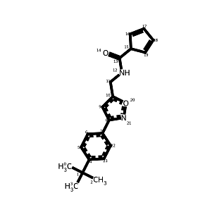 CC(C)(C)c1ccc(-c2cc(CNC(=O)C3C=CC=C3)on2)cc1